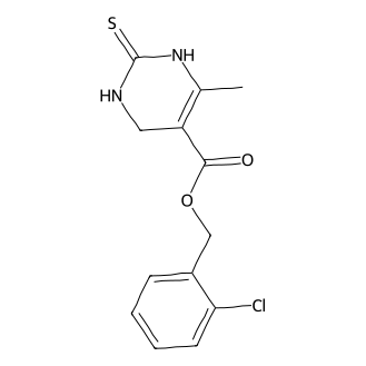 CC1=C(C(=O)OCc2ccccc2Cl)CNC(=S)N1